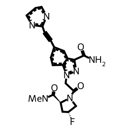 CNC(=O)[C@@H]1C[C@@H](F)CN1C(=O)Cn1nc(C(N)=O)c2cc(C#Cc3ncccn3)ccc21